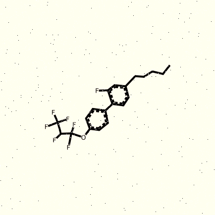 CCCCCc1ccc(-c2ccc(OC(F)(F)C(F)C(F)(F)F)cc2)c(F)c1